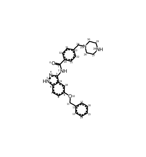 O=C(Nc1n[nH]c2ccc(OCc3ccccc3)cc12)c1ccc(CN2CCNCC2)cc1